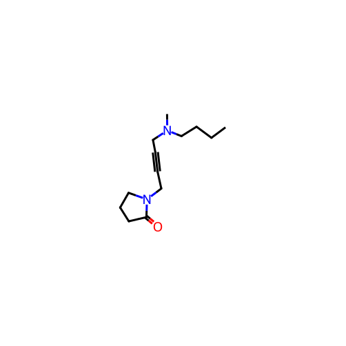 CCCCN(C)CC#CCN1CCCC1=O